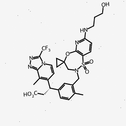 Cc1ccc([C@H](CC(=O)O)c2ccn3c(C(F)(F)F)nnc3c2C)cc1CN1CC2(CC2)Oc2nc(NCCCO)ccc2S1(=O)=O